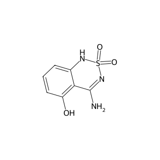 NC1=NS(=O)(=O)Nc2cccc(O)c21